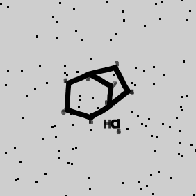 C1CC2CCC(C1)C2.Cl